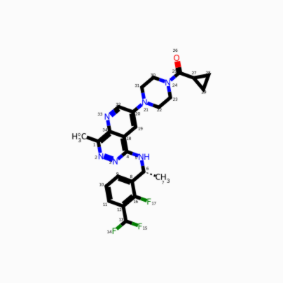 Cc1nnc(N[C@H](C)c2cccc(C(F)F)c2F)c2cc(N3CCN(C(=O)C4CC4)CC3)cnc12